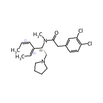 C/C=C\C(=C/C)[C@@H](CN1CCCC1)N(C)C(=O)Cc1ccc(Cl)c(Cl)c1